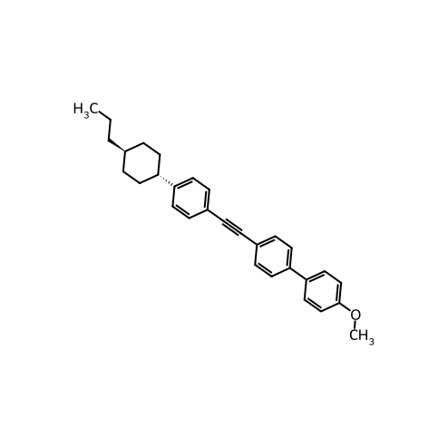 CCC[C@H]1CC[C@H](c2ccc(C#Cc3ccc(-c4ccc(OC)cc4)cc3)cc2)CC1